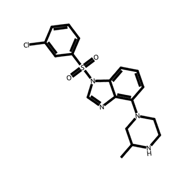 CC1CN(c2cccc3c2ncn3S(=O)(=O)c2cccc(Cl)c2)CCN1